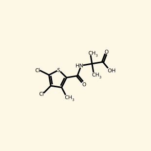 Cc1c(C(=O)NC(C)(C)C(=O)O)sc(Cl)c1Cl